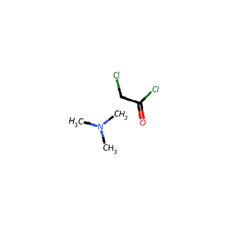 CN(C)C.O=C(Cl)CCl